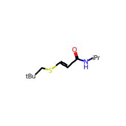 CC(C)NC(=O)C=CSCC(C)(C)C